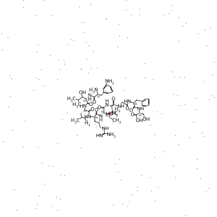 CC[C@H](C)[C@H](NC(=O)[C@@H](CCCNC(=N)N)NC(=O)[C@H](CC(C)C)NC(=O)[C@@H](NC(=O)[C@@H](N)Cc1cccc(N)c1)C(O)C(C)C)C(=O)N[C@H](C(=O)NCC(=O)N[C@@H](Cc1ccccc1)C(=O)N[C@@H](CO)C(=O)O)[C@H](C)O